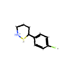 Fc1ccc(C2CCCNS2)cc1